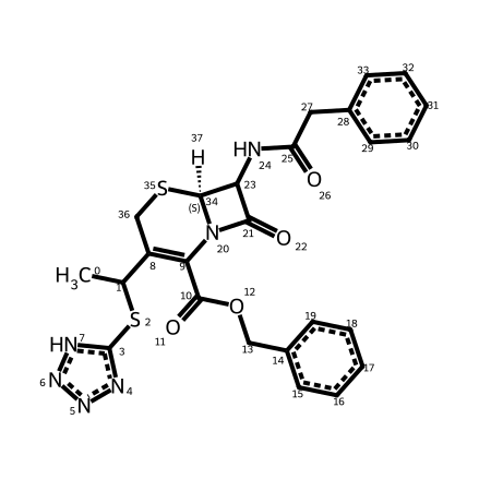 CC(Sc1nnn[nH]1)C1=C(C(=O)OCc2ccccc2)N2C(=O)C(NC(=O)Cc3ccccc3)[C@@H]2SC1